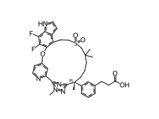 Cn1nc2nc1-c1cc(ccn1)Oc1c(F)c(F)c3[nH]ccc3c1CCS(=O)(=O)CC(C)(C)CCC[C@]2(C)c1cccc(CCC(=O)O)c1